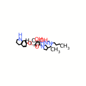 CCCCN1CNC2C(CCN2[C@@H]2O[C@H](COc3ccc4c(c3)NCCC4)[C@@](C)(O)[C@H]2O)C1C